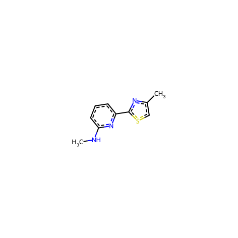 CNc1cccc(-c2nc(C)cs2)n1